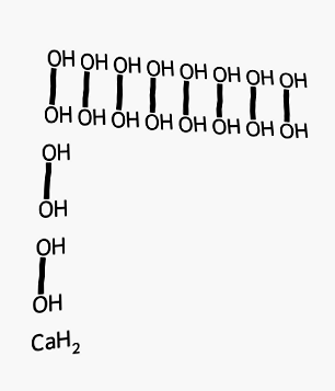 OO.OO.OO.OO.OO.OO.OO.OO.OO.OO.[CaH2]